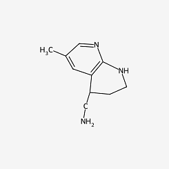 Cc1cnc2c(c1)C(CN)CCN2